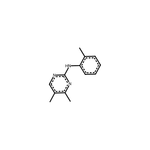 Cc1ccccc1Nc1ncc(C)c(C)n1